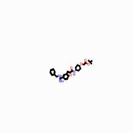 CC(C)(C)OC(=O)CO[C@H]1CC[C@H](NC(=O)c2cc3cc(C(=N)NCc4ccccc4)ccc3o2)CC1